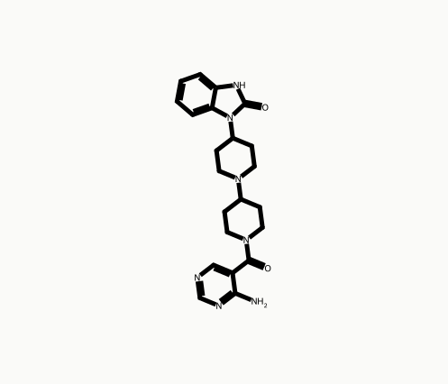 Nc1ncncc1C(=O)N1CCC(N2CCC(n3c(=O)[nH]c4ccccc43)CC2)CC1